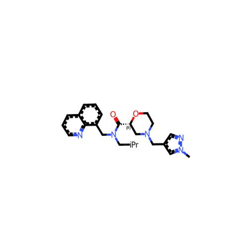 CC(C)CN(Cc1cccc2cccnc12)C(=O)[C@H]1CN(Cc2cnn(C)c2)CCO1